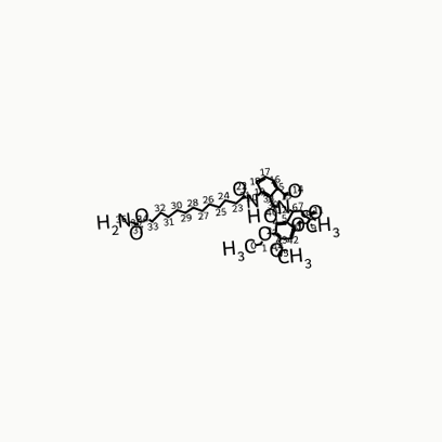 CCOc1cc(C(CS(C)(=O)=O)N2C(=O)c3cccc(NC(=O)CCCCCCCCCCCOC(N)=O)c3C2=O)ccc1OC